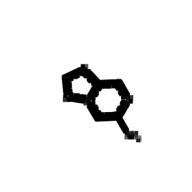 Nc1cn2ncnc2cn1